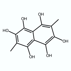 Cc1c(O)c(O)c2c(O)c(C)c(O)c(O)c2c1O